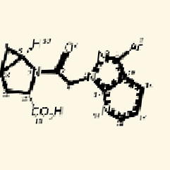 CC(=O)c1nn(CC(=O)N2[C@@H]3CC3C[C@H]2C(=O)O)c2ncccc12